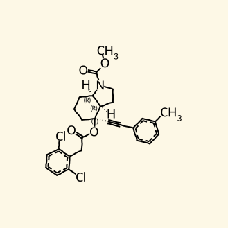 COC(=O)N1CC[C@@H]2[C@H]1CCC[C@]2(C#Cc1cccc(C)c1)OC(=O)Cc1c(Cl)cccc1Cl